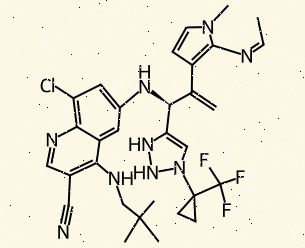 C=C(c1ccn(C)c1/N=C\C)[C@H](Nc1cc(Cl)c2ncc(C#N)c(NCC(C)(C)C)c2c1)C1=CN(C2(C(F)(F)F)CC2)NN1